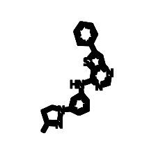 CC1=NN(c2cccc(Nc3ncnc4cc(-c5ccccc5)sc34)c2)CC1